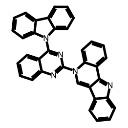 c1ccc2c3cn(-c4nc(-n5c6ccccc6c6ccccc65)c5ccccc5n4)c4ccccc4c-3nc2c1